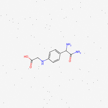 NC(=O)C(N)c1ccc(NCC(=O)O)cc1